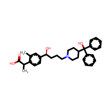 Cc1cc([C@@H](O)CCCN2CCC(C(O)(c3ccccc3)c3ccccc3)CC2)ccc1C(C)C(=O)O